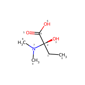 CC[C@@](O)(C(=O)O)N(C)C